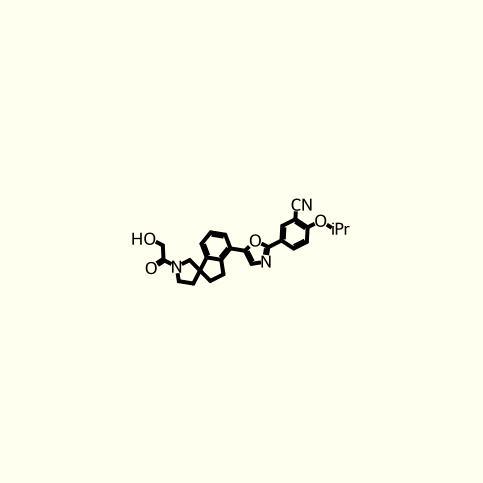 CC(C)Oc1ccc(-c2ncc(-c3cccc4c3CCC43CCN(C(=O)CO)C3)o2)cc1C#N